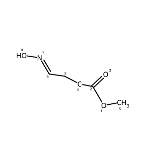 COC(=O)CCC=NO